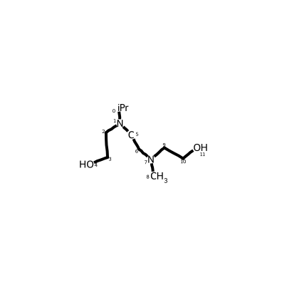 CC(C)N(CCO)CCN(C)CCO